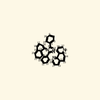 c1ccc(-c2nnc(-c3ccccc3)n2-c2cccc3ccccc23)cc1.c1cnc2c(c1)ccc1ncccc12